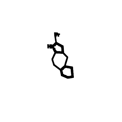 CC(C)c1cc2c([nH]1)CCc1ccccc1C2